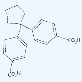 O=C(O)c1ccc(C2(c3ccc(C(=O)O)cc3)CCCC2)cc1